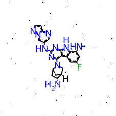 CNc1cc(F)cc2c1[nH]c1nc(Nc3cnc4ccnn4c3)nc(N3C[C@H]4CC3C[C@H]4N)c12